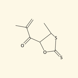 C=C(C)C(=O)C1OC(=S)SC1C